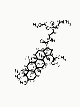 C=C(C)[C@@H]1C[C@@H](C(=O)NCCP(=O)(OCC)OCC)C2CC[C@]3(C)[C@H](CC[C@@H]4[C@@]5(C)CC[C@H](O)C(C)(C)[C@@H]5CC[C@]43C)[C@H]21